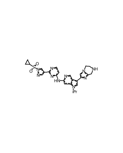 CC(C)n1cc(-c2cn3c(n2)CNCC3)c2cnc(Nc3ccnc(-c4cnn(S(=O)(=O)C5CC5)c4)n3)cc21